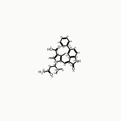 Cc1c(C(=O)O)c(C)n(C(CC(N)=O)N(C)C)c1C=C1C(=O)Nc2ccc(-c3ccccc3)cc21